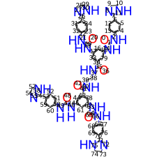 O=C(Nc1ccc(C2=NCCN2)cc1)Nc1cc(NC(=O)Nc2ccc(C3=NCCN3)cc2)cc(C(=O)NCCNC(=O)c2cc(NC(=O)Nc3ccc(C4=NCCN4)cc3)cc(NC(=O)Nc3ccc(C4=NCCN4)cc3)c2)c1